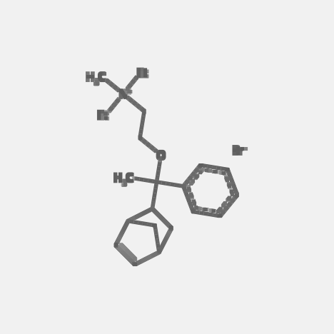 CC[N+](C)(CC)CCOC(C)(c1ccccc1)C1CC2C=CC1C2.[Br-]